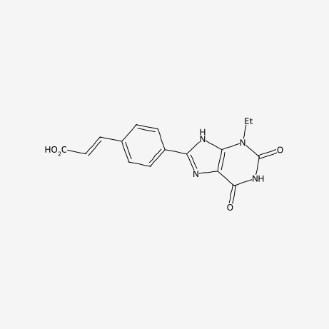 CCn1c(=O)[nH]c(=O)c2nc(-c3ccc(/C=C/C(=O)O)cc3)[nH]c21